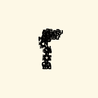 CCCCN(OS(=O)(=O)ON1C(=O)N2C[C@@H]1CC[C@H]2c1nnc(N2CCN(C(=O)OC(C)(C)C)CC2)s1)C(CCC)(CCCC)CCCC